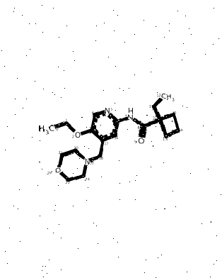 CCOc1cnc(NC(=O)C2(CC)CCC2)cc1CN1CCOCC1